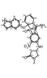 CN1CC(Nc2ccc(S(=O)(=O)C3(Oc4cnc5[nH]ccc5c4)C=CC=CC3C(N)=O)cc2[N+](=O)[O-])CC1=O